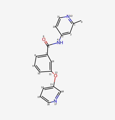 Cc1cc(NC(=O)c2cccc(Oc3cccnc3)c2)ccn1